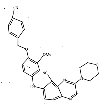 COc1cc(Nc2ccc3ncc(N4CCOCC4)nc3c2C#N)ccc1OCc1ccc(C#N)cc1